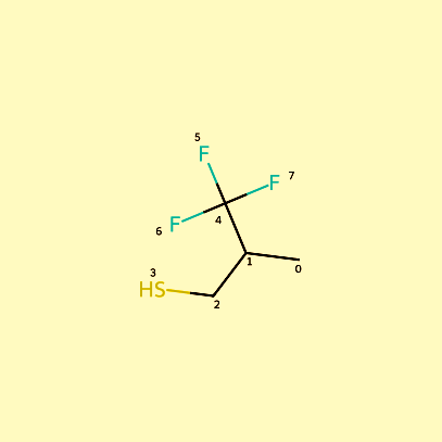 CC(CS)C(F)(F)F